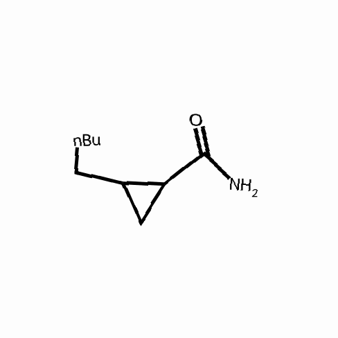 CCCCCC1CC1C(N)=O